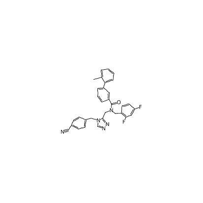 Cc1ccccc1-c1cccc(C(=O)N(Cc2ccc(F)cc2F)Cc2nncn2Cc2ccc(C#N)cc2)c1